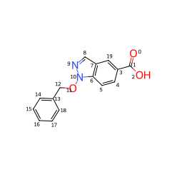 O=C(O)c1ccc2c(cnn2OCc2ccccc2)c1